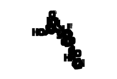 COc1cnc2c(-c3nc4c(F)cc5c(c4s3)OC[C@H](COC(=O)Nc3cccnc3)O5)cc(CO)cc2n1